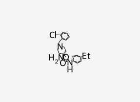 CCc1ccc(NC(=O)OC2(N)CCN(Cc3ccccc3Cl)CC2)cc1